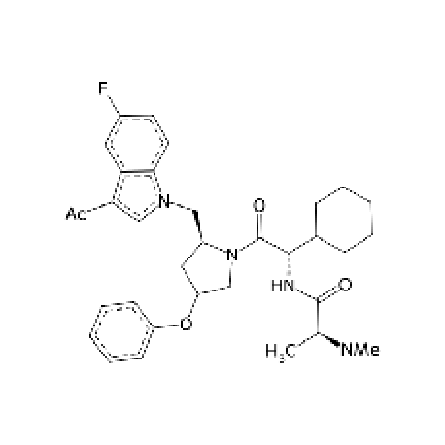 CN[C@@H](C)C(=O)N[C@H](C(=O)N1CC(Oc2ccccc2)C[C@H]1Cn1cc(C(C)=O)c2cc(F)ccc21)C1CCCCC1